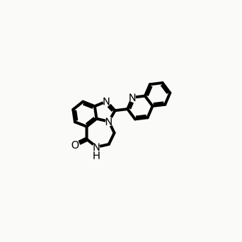 O=C1NCCn2c(-c3ccc4ccccc4n3)nc3cccc1c32